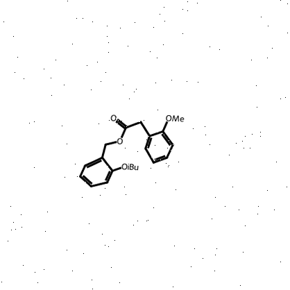 COc1ccccc1CC(=O)OCc1ccccc1OCC(C)C